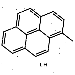 Cc1ccc2ccc3cccc4ccc1c2c34.[LiH]